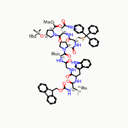 CC[C@H](C)[C@H](C)[C@H](NC(=O)OCC1c2ccccc2-c2ccccc21)C(=O)NC(Cc1c[nH]c2ccccc12)C(=O)NCC(=O)N[C@H](C(=O)N1CCC[C@@H]1C(=O)N[C@@H](CSC(c1ccccc1)(c1ccccc1)c1ccccc1)C(=O)N[C@@H](CC(N)=O)C(=O)N1C[C@H](O[Si](C)(C)C(C)(C)C)C[C@H]1C(=O)OC)[C@@H](C)CC